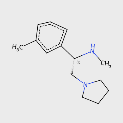 CN[C@H](CN1CCCC1)c1cccc(C)c1